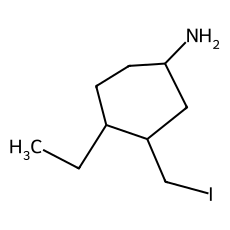 CCC1CCC(N)CC1CI